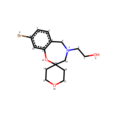 OCCN1Cc2ccc(Br)cc2OC2(CCOCC2)C1